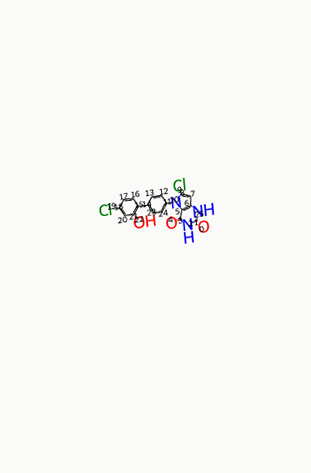 O=c1[nH]c(=O)c2c(cc(Cl)n2-c2ccc(-c3ccc(Cl)cc3O)cc2)[nH]1